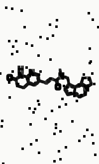 CN(Cc1ccc2ccn3c(c1-2)CCC3)C(=O)C=Cc1cnc2c(c1)CCC(=O)N2